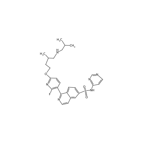 CC(C)CNCC(C)CCOc1ccc(-c2nccc3cc(S(=O)(=O)Nc4ccncn4)ccc23)c(F)n1